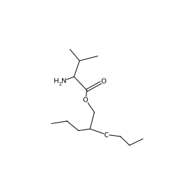 CCCCC(CCC)COC(=O)C(N)C(C)C